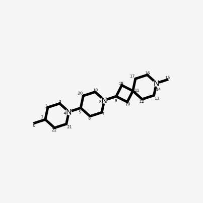 CC1CCN(C2CCN(C3CC4(CCN(C)CC4)C3)CC2)CC1